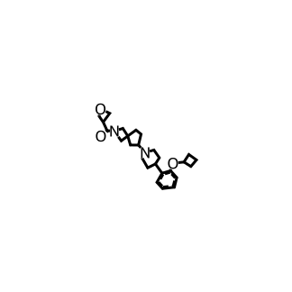 O=C(C1COC1)N1CC2(CCC(N3CCC(c4ccccc4OC4CCC4)CC3)C2)C1